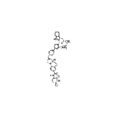 COc1cc(N2CCC(CN3CCN4c5ccc(C(=O)NC6CCC(=O)NC6=O)nc5OC[C@H]4C3)CC2)ccc1[C@H]1c2[nH]c3ccccc3c2C[C@H](C)N1CC(F)F